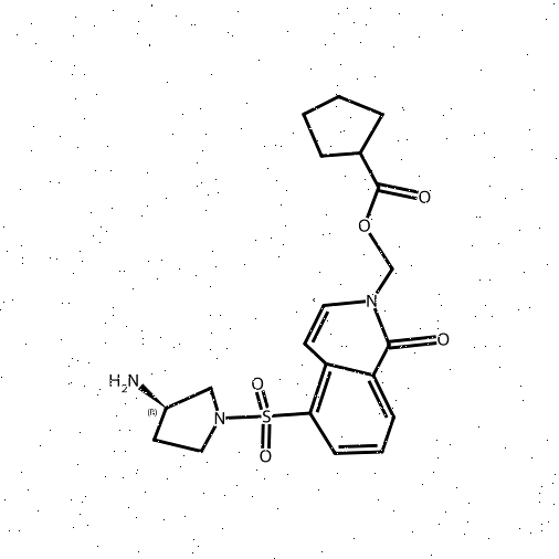 N[C@@H]1CCN(S(=O)(=O)c2cccc3c(=O)n(COC(=O)C4CCCC4)ccc23)C1